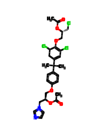 CC(=O)O[C@H](CCl)COC1=C(Cl)C=C(C(C)(C)c2ccc(OC[C@H](Cn3ccnc3)OC(C)=O)cc2)CC1Cl